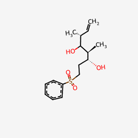 C=C[C@@H](C)C(O)[C@@H](C)[C@H](O)CCS(=O)(=O)c1ccccc1